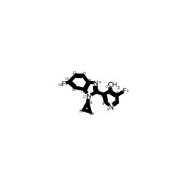 Cc1c(F)cncc1-c1nc2ccc(F)cc2n1C1CC1